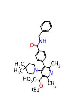 Cc1nc(C)c([C@H](OC(C)(C)C)C(=O)O)c(N2CCC(C)(C)CC2)c1-c1ccc(C(=O)NCc2ccccc2)cc1